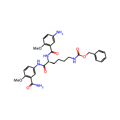 COc1ccc(NC(=O)[C@H](CCCCNC(=O)OCc2ccccc2)NC(=O)c2cc(N)ccc2OC)cc1C(N)=O